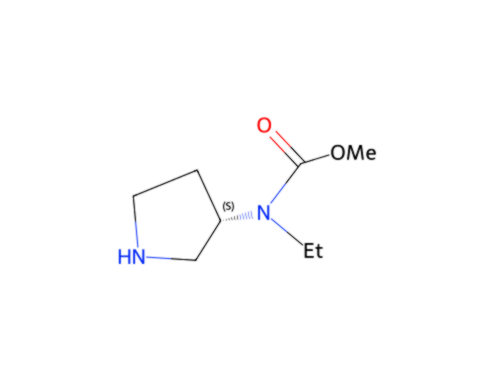 CCN(C(=O)OC)[C@H]1CCNC1